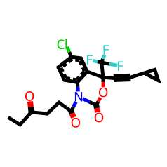 CCC(=O)CCC(=O)N1C(=O)OC(C#CC2CC2)(C(F)(F)F)c2cc(Cl)ccc21